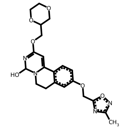 Cc1noc(COc2ccc3c(c2)CCN2C3=CC(OCC3COCCO3)=NC2O)n1